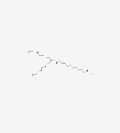 COC(=O)CCCCCCCCCCC(=O)NC(COCCC(=O)OCC(C)C)COCCC(=O)OCC(C)C